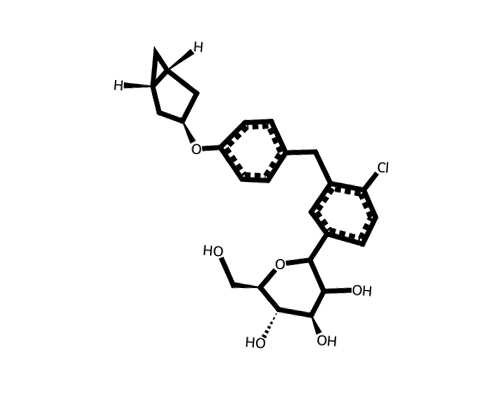 OC[C@H]1OC(c2ccc(Cl)c(Cc3ccc(O[C@H]4C[C@@H]5C[C@@H]5C4)cc3)c2)C(O)[C@@H](O)[C@@H]1O